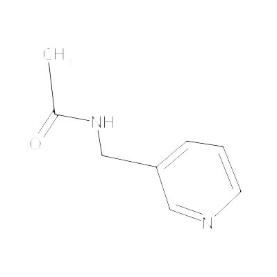 CC(=O)NCc1cc[c]nc1